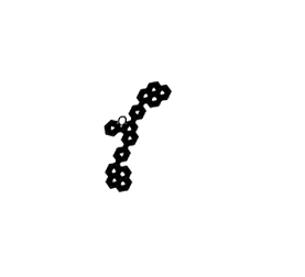 c1cc2ccc3ccc(-c4ccc(-c5ccc6cc(-c7ccc(-c8ccc9ccc%10cccc%11ccc8c9c%10%11)cc7)c7oc8ccccc8c7c6c5)cc4)c4ccc(c1)c2c34